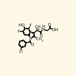 Cc1c([C@@H](C)C(=O)NCC(=O)O)c2c(F)c(O)c(F)cc2n1C(=O)c1cccc(Cl)c1